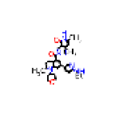 CCNc1ccc(-c2cc(C(=O)NCc3c(C)cc(C)[nH]c3=O)c3c(c2)N(C2CCOCC2)C(C)CC3)cn1